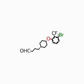 O=CCCC[C@H]1CC[C@H](Oc2cccc(Br)c2C(F)(F)F)CC1